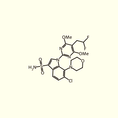 COc1nc(-n2cc(S(N)(=O)=O)c3ccc(Cl)c(N4CCOCC4)c32)nc(OC)c1CC(F)F